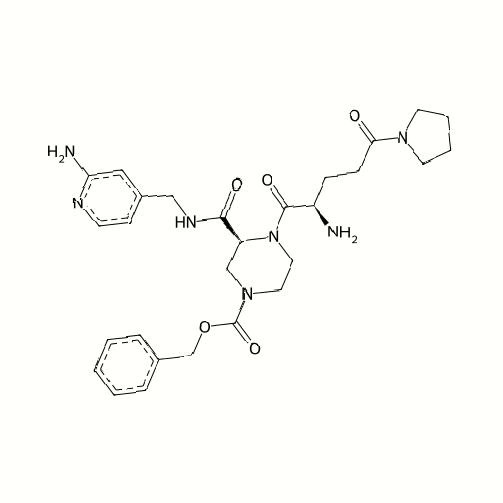 Nc1cc(CNC(=O)[C@@H]2CN(C(=O)OCc3ccccc3)CCN2C(=O)[C@H](N)CCC(=O)N2CCCC2)ccn1